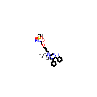 CC(C)N(CCCCOCC(=O)NS(C)(=O)=O)C1CNC(c2ccccc2)C(c2ccccc2)N1